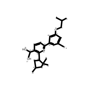 CC(C)COc1cc(F)cc(-c2ccc(C(O)O)c(C3CC(C)CC3(C)C)n2)c1